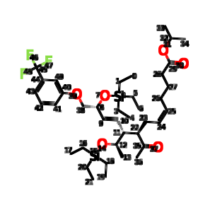 CC[Si](CC)(CC)O[C@H](/C=C/[C@@H]([C@@H](C)O[Si](CC)(CC)CC)[C@@H](C/C=C\CCCC(=O)OC(C)C)C(C)=O)COc1cccc(C(F)(F)F)c1